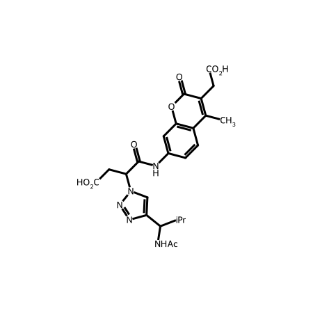 CC(=O)NC(c1cn(C(CC(=O)O)C(=O)Nc2ccc3c(C)c(CC(=O)O)c(=O)oc3c2)nn1)C(C)C